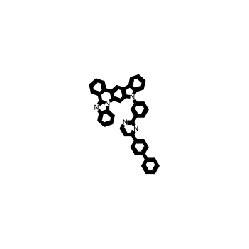 c1ccc(-c2ccc(-c3ccnc(-c4cccc(-n5c6ccccc6c6cc7c8ccccc8c8nc9ccccc9n8c7cc65)c4)n3)cc2)cc1